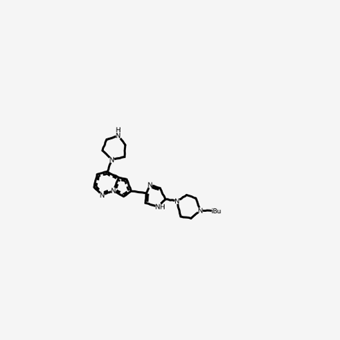 CCC(C)N1CCN(C2C=NC(c3cc4c(N5CCNCC5)ccnn4c3)=CN2)CC1